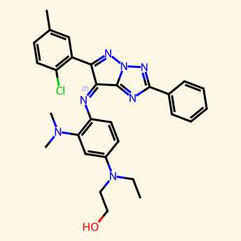 CCN(CCO)c1ccc(/N=C2/C(c3cc(C)ccc3Cl)=Nn3nc(-c4ccccc4)nc32)c(N(C)C)c1